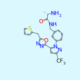 C[C@H](N)C(=O)NCc1cccc(-n2nc(C(F)(F)F)cc2-c2nnc(Cc3cccs3)o2)c1